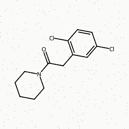 O=C(Cc1cc(Cl)ccc1Cl)N1CCCCC1